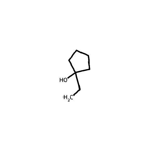 [CH2]CC1(O)CCCC1